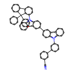 N#Cc1cccc(-c2cccc(-n3c4ccccc4c4cc(-c5ccc6c(c5)c5ccccc5n6-c5cccc6c5C(c5ccccc5)(c5ccccc5)c5ccccc5-6)ccc43)c2)c1